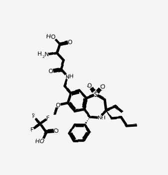 CCCC[C@]1(CC)CS(=O)(=O)c2cc(CNC(=O)CC(N)C(=O)O)c(OC)cc2[C@@H](c2ccccc2)N1.O=C(O)C(F)(F)F